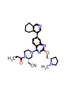 C=CC(=O)N1CCN(c2nc(OC[C@@H]3CCCN3C)nc3cc(-c4cncc5c4CCCC5)ccc23)C[C@@H]1CC#N